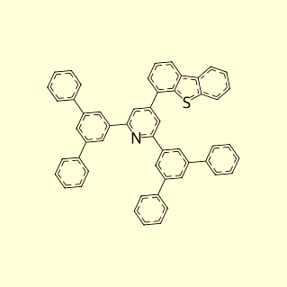 c1ccc(-c2cc(-c3ccccc3)cc(-c3cc(-c4cccc5c4sc4ccccc45)cc(-c4cc(-c5ccccc5)cc(-c5ccccc5)c4)n3)c2)cc1